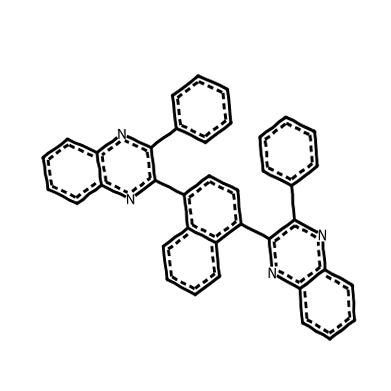 c1ccc(-c2nc3ccccc3nc2-c2ccc(-c3nc4ccccc4nc3-c3ccccc3)c3ccccc23)cc1